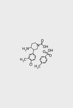 Cc1cc(C2CN(C(=O)O)CCC2N)ccc1Cl.Cc1ccc(S(=O)(=O)O)cc1